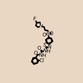 O=C(NC(=O)c1ccccc1Cl)Nc1nc2ccc(S(=O)(=O)CCCN3CCC(F)C3)cc2s1